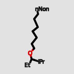 CCCCCCCCCCCCCCCCOC(CC)C(C)C